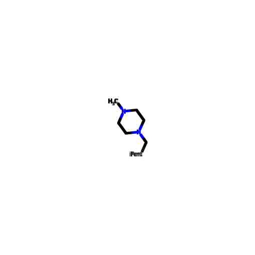 CCCC(C)CN1CCN(C)CC1